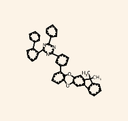 CC1(C)c2ccccc2-c2cc3c(cc21)Oc1c(cccc1-c1cccc(-c2nc(-c4ccccc4)nc(-c4ccccc4-c4ccccc4)n2)c1)O3